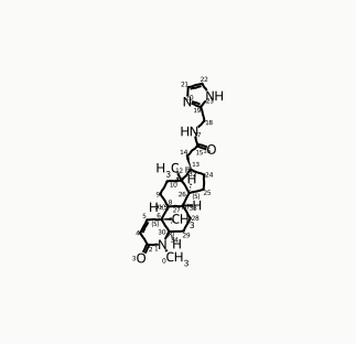 CN1C(=O)C=C[C@]2(C)[C@H]3CC[C@]4(C)[C@@H](CC(=O)NCc5ncc[nH]5)CC[C@H]4[C@@H]3CC[C@@H]12